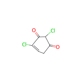 O=C1CC=C(Cl)C(=O)C1Cl